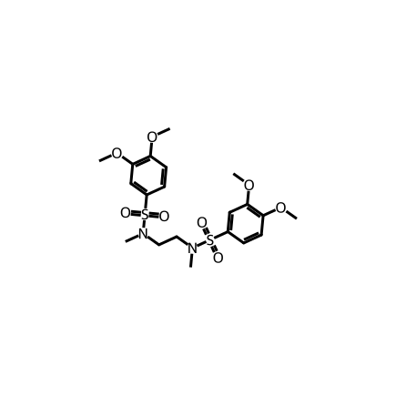 COc1ccc(S(=O)(=O)N(C)CCN(C)S(=O)(=O)c2ccc(OC)c(OC)c2)cc1OC